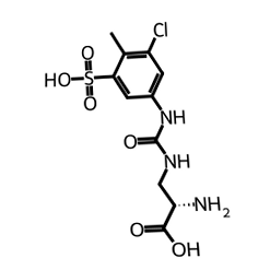 Cc1c(Cl)cc(NC(=O)NC[C@H](N)C(=O)O)cc1S(=O)(=O)O